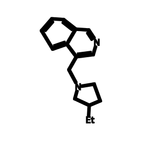 CCC1CCN(Cc2cncc3ccccc23)C1